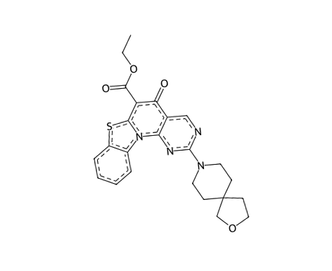 CCOC(=O)c1c(=O)c2cnc(N3CCC4(CCOC4)CC3)nc2n2c1sc1ccccc12